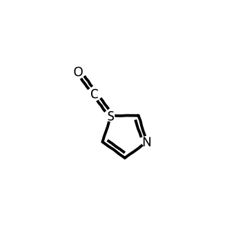 O=C=S1C=CN=C1